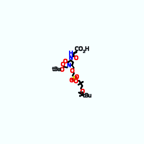 CC(C)(CCO[Si](C)(C)C(C)(C)C)COS(=O)(=O)CCOC[C@@H]1C[C@H](NC(=O)C=CC(=O)O)C(=O)N1CC(=O)OC(C)(C)C